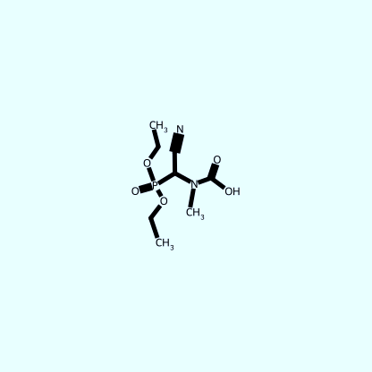 CCOP(=O)(OCC)C(C#N)N(C)C(=O)O